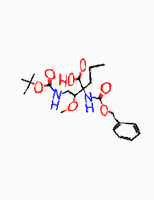 CCCC(NC(=O)OCc1ccccc1)(C(=O)O)C(CNC(=O)OC(C)(C)C)OC